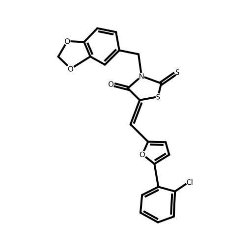 O=C1C(=Cc2ccc(-c3ccccc3Cl)o2)SC(=S)N1Cc1ccc2c(c1)OCO2